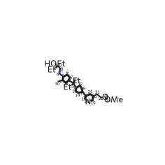 CCC(O)(/C=C/c1ccc(C(CC)(CC)c2ccc(-c3cncc(CCOOC)c3)cc2)cc1C)CC